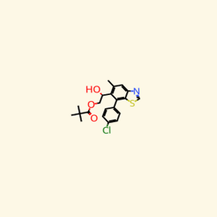 Cc1cc2ncsc2c(-c2ccc(Cl)cc2)c1[C@H](O)COC(=O)C(C)(C)C